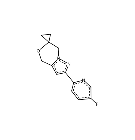 Fc1ccc(-c2cc3n(n2)CC2(CC2)OC3)nc1